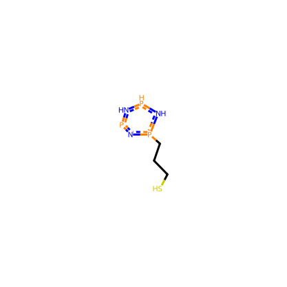 SCCCp1np[nH][pH][nH]1